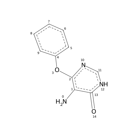 Nc1c(Oc2ccccc2)nc[nH]c1=O